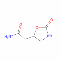 NC(=O)CC1CNC(=O)O1